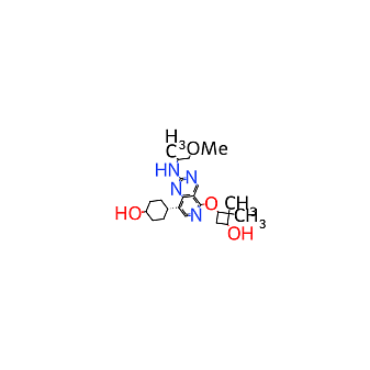 COC[C@H](C)Nc1ncc2c(O[C@H]3C[C@@H](O)C3(C)C)ncc([C@H]3CC[C@H](O)CC3)c2n1